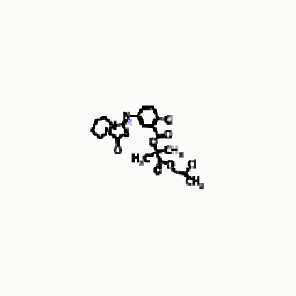 C=C(Cl)COC(=O)C(C)(C)OC(=O)c1cc(/N=c2\sc(=O)n3n2CCCC3)ccc1Cl